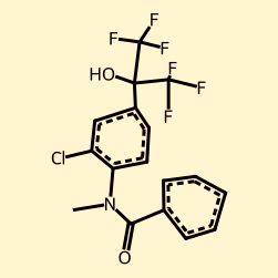 CN(C(=O)c1ccccc1)c1ccc(C(O)(C(F)(F)F)C(F)(F)F)cc1Cl